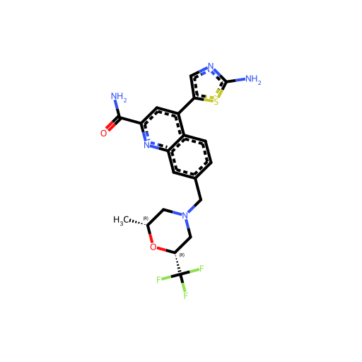 C[C@@H]1CN(Cc2ccc3c(-c4cnc(N)s4)cc(C(N)=O)nc3c2)C[C@H](C(F)(F)F)O1